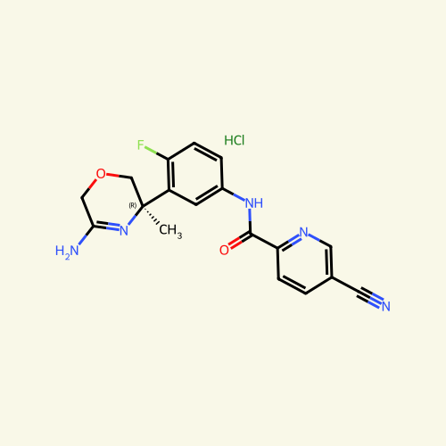 C[C@@]1(c2cc(NC(=O)c3ccc(C#N)cn3)ccc2F)COCC(N)=N1.Cl